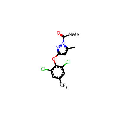 CNC(=O)n1nc(Oc2c(Cl)cc(C(F)(F)F)cc2Cl)cc1C